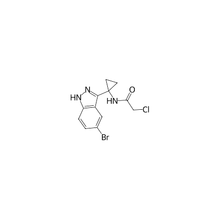 O=C(CCl)NC1(c2n[nH]c3ccc(Br)cc23)CC1